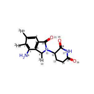 [2H]c1cc2c(c(N)c1[2H])C([2H])N(C1CCC(=O)NC1=O)C2=O